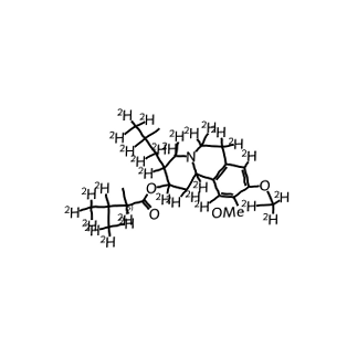 [2H]c1c(OC([2H])([2H])[2H])c(OC)c([2H])c2c1C([2H])([2H])C([2H])([2H])N1C([2H])([2H])C([2H])(C([2H])([2H])C([2H])(C)C([2H])([2H])[2H])C([2H])(OC(=O)[C@@]([2H])(C)C([2H])(C([2H])([2H])[2H])C([2H])([2H])[2H])C([2H])([2H])C21[2H]